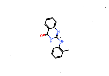 Cc1[c]cccc1Nc1nc2ccccc2c(=O)[nH]1